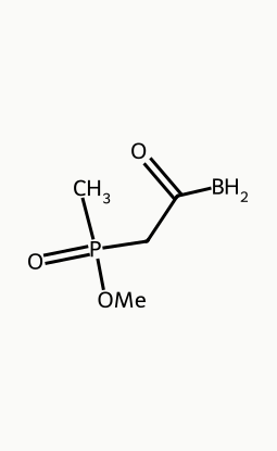 BC(=O)CP(C)(=O)OC